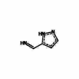 N=Cc1ccn[nH]1